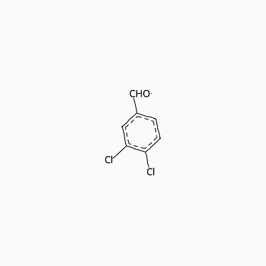 O=[C]c1ccc(Cl)c(Cl)c1